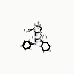 CCN(C)/C(=N\C(=N/c1ccccc1)NC1CCCCC1)N(C)C